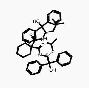 CC(C)C[C@@H](NC(=O)C1(C(=O)N[C@H](CC(C)C)C(O)(c2ccccc2)c2ccccc2)CCCCC1)C(O)(c1ccccc1)c1ccccc1